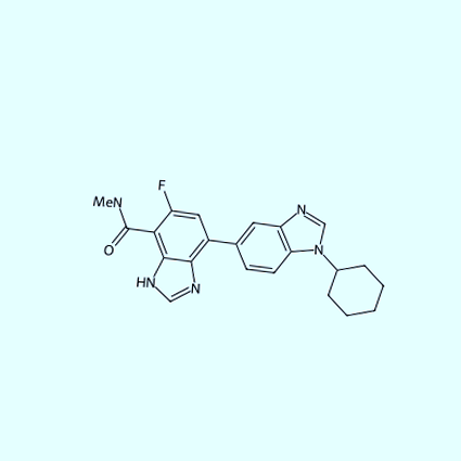 CNC(=O)c1c(F)cc(-c2ccc3c(c2)ncn3C2CCCCC2)c2nc[nH]c12